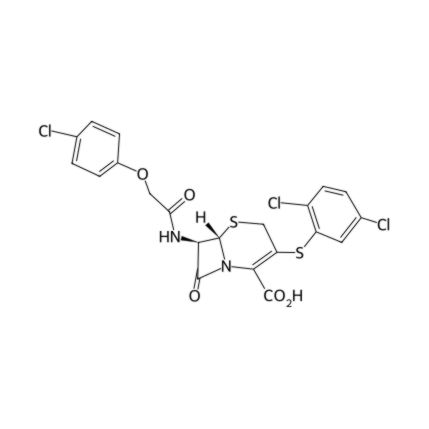 O=C(COc1ccc(Cl)cc1)N[C@@H]1C(=O)N2C(C(=O)O)=C(Sc3cc(Cl)ccc3Cl)CS[C@@H]12